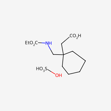 CCOC(=O)NCC1(CC(=O)O)CCCCC1.O=S(=O)(O)O